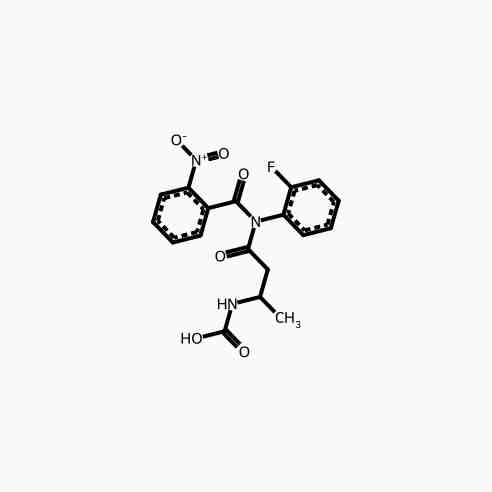 CC(CC(=O)N(C(=O)c1ccccc1[N+](=O)[O-])c1ccccc1F)NC(=O)O